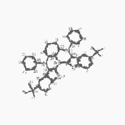 CC(C)(C)c1ccc2sc3c(c2c1)N(c1ccccc1)c1cccc2c1B3c1sc3ccc(C(C)(C)C)cc3c1N2c1ccccc1